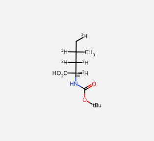 [2H]CC([2H])(C)C([2H])([2H])[C@]([2H])(NC(=O)OC(C)(C)C)C(=O)O